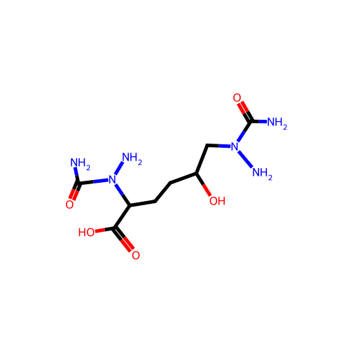 NC(=O)N(N)CC(O)CCC(C(=O)O)N(N)C(N)=O